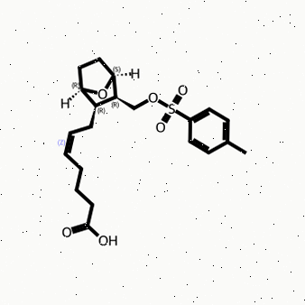 Cc1ccc(S(=O)(=O)OC[C@H]2[C@@H](C/C=C\CCCC(=O)O)[C@H]3CC[C@@H]2O3)cc1